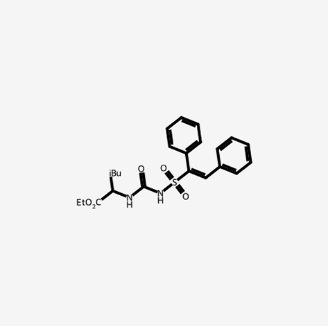 CCOC(=O)C(NC(=O)NS(=O)(=O)/C(=C/c1ccccc1)c1ccccc1)C(C)CC